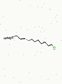 CCCCCCCCC=CCCCCCCCCCl